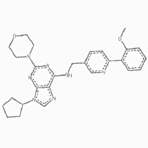 COc1ccccc1-c1ccc(CNc2nc(N3CCOCC3)nc3c2ncn3C2CCCC2)cn1